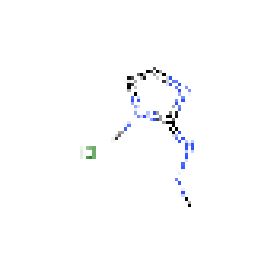 CNN=c1[nH]ccn1C.Cl